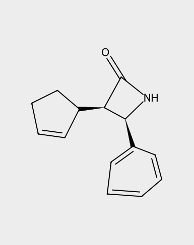 O=C1N[C@@H](c2ccccc2)[C@H]1C1C=CCC1